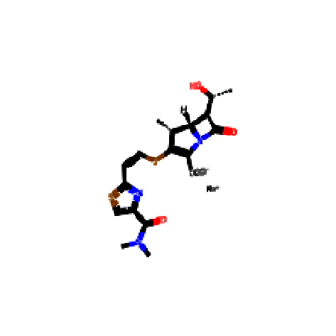 C[C@@H](O)[C@H]1C(=O)N2C(C(=O)[O-])=C(S/C=C\c3nc(C(=O)N(C)C)cs3)[C@H](C)[C@H]12.[Na+]